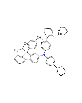 Cc1ccc(C2(C(C)C)c3ccccc3-c3ccc(N(c4ccc(-c5ccccc5)cc4)c4ccc(-c5cccc6c5oc5ccccc56)cc4)cc32)cc1